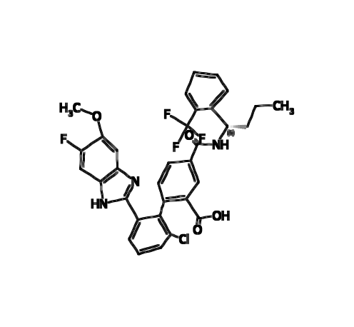 CCC[C@H](NC(=O)c1ccc(-c2c(Cl)cccc2-c2nc3cc(OC)c(F)cc3[nH]2)c(C(=O)O)c1)c1ccccc1C(F)(F)F